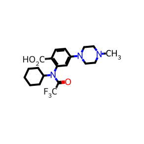 CN1CCN(c2ccc(C(=O)O)c(N(C(=O)C(F)(F)F)C3CCCCC3)c2)CC1